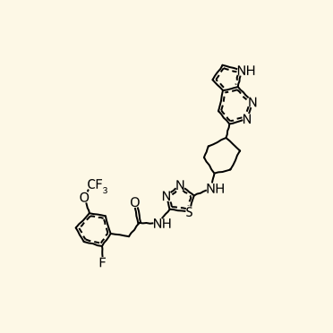 O=C(Cc1cc(OC(F)(F)F)ccc1F)Nc1nnc(NC2CCC(c3cc4cc[nH]c4nn3)CC2)s1